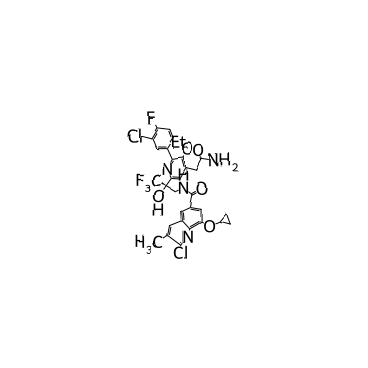 CCOc1c(CC(N)=O)cc([C@@](O)(CNC(=O)c2cc(OC3CC3)c3nc(Cl)c(C)cc3c2)C(F)(F)F)nc1-c1ccc(F)c(Cl)c1